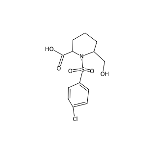 O=C(O)C1CCCC(CO)N1S(=O)(=O)c1ccc(Cl)cc1